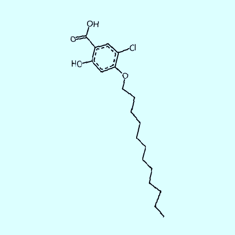 CCCCCCCCCCCCOc1cc(O)c(C(=O)O)cc1Cl